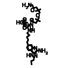 CCCc1nc2c(N)nc3cc(CCCCCNC(=O)[C@H](CS(=O)(=O)O)NC(=O)CC(C)(C)COCC(C)(C)CC(=O)CN)ccc3c2[nH]1